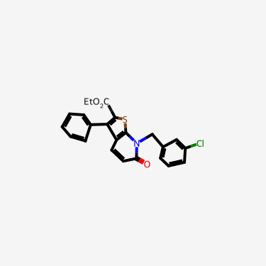 CCOC(=O)c1sc2c(ccc(=O)n2Cc2cccc(Cl)c2)c1-c1ccccc1